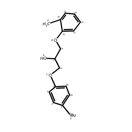 CCC(C)c1ccc(OCC(O)COc2ccccc2C)cc1